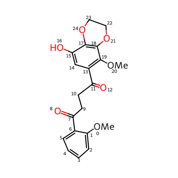 COc1ccccc1C(=O)CCC(=O)c1cc(O)c2c(c1OC)OCCO2